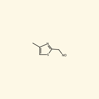 Cc1csc(CN=O)n1